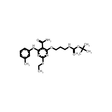 CCSc1nc(Nc2cccc(C)c2)c(C(N)=O)c(OCCCNC(=O)OC(C)(C)C)n1